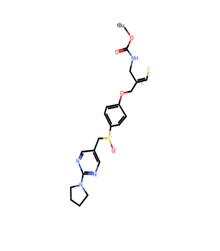 CC(C)(C)OC(=O)NC/C(=C\F)COc1ccc([S+]([O-])Cc2cnc(N3CCCC3)nc2)cc1